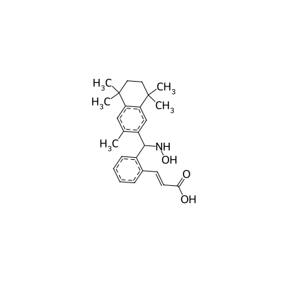 Cc1cc2c(cc1C(NO)c1ccccc1C=CC(=O)O)C(C)(C)CCC2(C)C